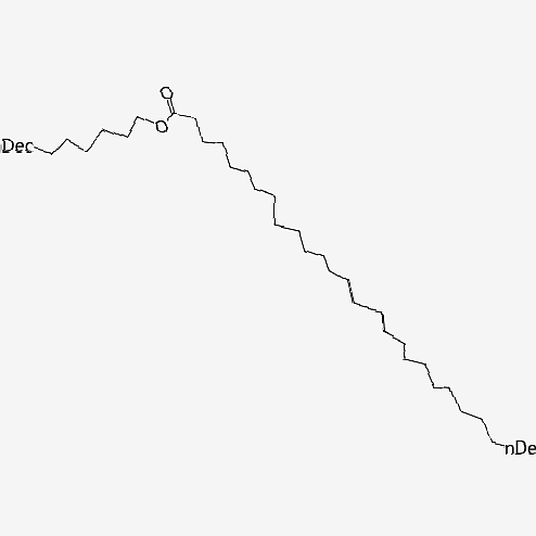 CCCCCCCCCCCCCCCCCCCCCCCCCCCCCCCCCCC(=O)OCCCCCCCCCCCCCCCC